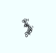 CC(C)c1cnn2c(N(Cc3ccc4ccccc4n3)C(=O)OC(C)(C)C)cc(NC[C@H]3CCN(C(=O)O)C[C@@H]3O)nc12